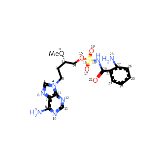 CO[C@@H](CCn1cnc2c(N)ncnc21)COS(=O)(=O)NC(=O)c1ccccc1N